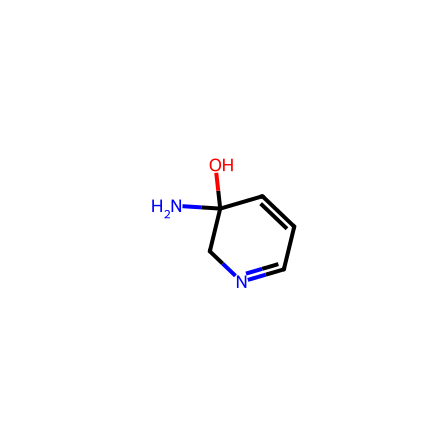 NC1(O)C=CC=NC1